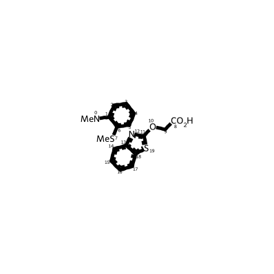 CNc1ccccc1SC.O=C(O)COc1nc2ccccc2s1